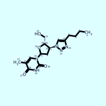 CCCCc1cn([C@H]2CC(n3cc(C)c(=O)[nH]c3=O)O[C@@H]2CO)nn1